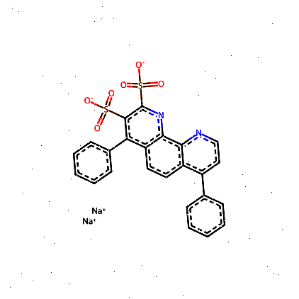 O=S(=O)([O-])c1nc2c(ccc3c(-c4ccccc4)ccnc32)c(-c2ccccc2)c1S(=O)(=O)[O-].[Na+].[Na+]